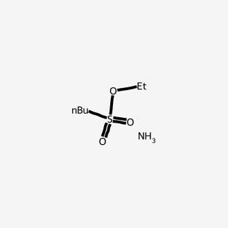 CCCCS(=O)(=O)OCC.N